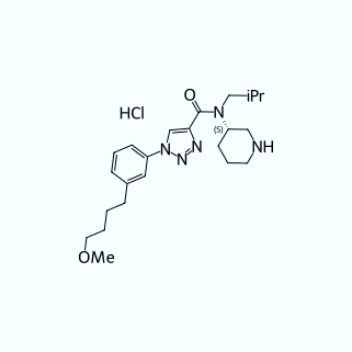 COCCCCc1cccc(-n2cc(C(=O)N(CC(C)C)[C@H]3CCCNC3)nn2)c1.Cl